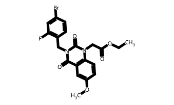 CCOC(=O)Cn1c(=O)n(Cc2ccc(Br)cc2F)c(=O)c2cc(OC)ccc21